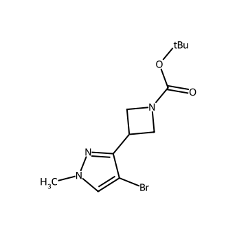 Cn1cc(Br)c(C2CN(C(=O)OC(C)(C)C)C2)n1